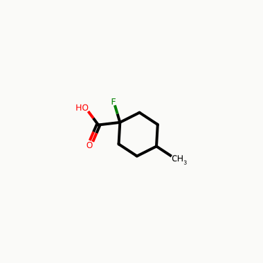 CC1CCC(F)(C(=O)O)CC1